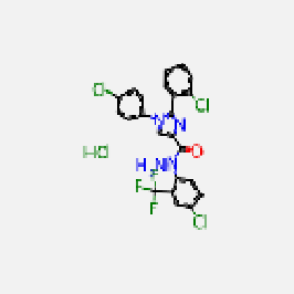 Cl.NN(C(=O)c1cn(-c2ccc(Cl)cc2)c(-c2ccccc2Cl)n1)c1ccc(Cl)cc1C(F)(F)F